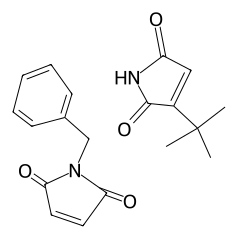 CC(C)(C)C1=CC(=O)NC1=O.O=C1C=CC(=O)N1Cc1ccccc1